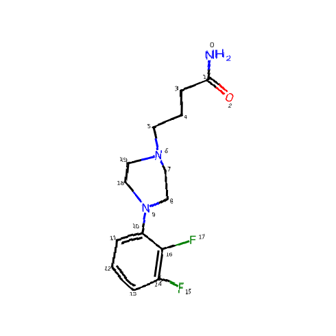 NC(=O)CCCN1CCN(c2cccc(F)c2F)CC1